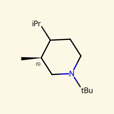 CC(C)C1CCN(C(C)(C)C)C[C@H]1C